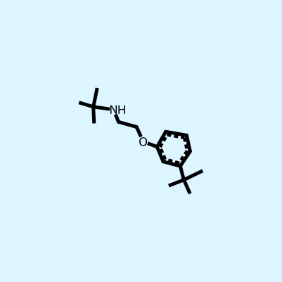 CC(C)(C)NCCOc1cccc(C(C)(C)C)c1